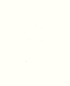 COc1ccc(OCc2ccccc2C(=O)O)c(F)c1C=O